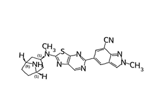 CN(c1nc2cnc(-c3cc(C#N)c4nn(C)cc4c3)nc2s1)[C@@H]1C[C@H]2CC[C@@H](C1)N2